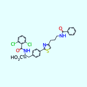 O=C(NCCCc1csc(-c2ccc(C[C@H](NC(=O)c3c(Cl)cccc3Cl)C(=O)O)cc2)n1)c1ccccc1